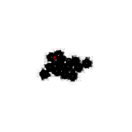 c1ccc(-c2ccc(N(c3ccccc3)c3cc4c(c5oc6ccccc6c35)-c3c(cc(N(c5ccccc5)c5ccc(-c6ccccc6)cc5)c5c3oc3ccccc35)C43c4ccccc4-c4ccccc43)cc2)cc1